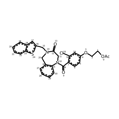 CC(=O)OCCOc1ccc(C(=O)N2CC(=O)N(Cc3cc4ccccc4s3)Cc3ccccc32)c(Cl)c1